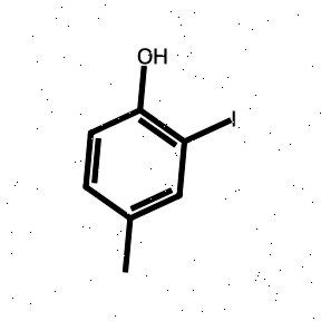 Cc1ccc(O)c(I)c1